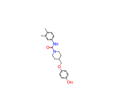 Cc1ccc(NC(=O)N2CCC(COc3ccc(O)cc3)CC2)cc1C